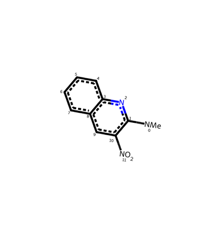 CNc1nc2ccccc2cc1[N+](=O)[O-]